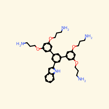 NCCCOc1cc(OCCCN)cc(-c2cc(-c3cc(OCCCN)cc(OCCCN)c3)cc(-c3cc4ccccc4[nH]3)c2)c1